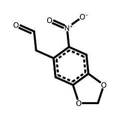 O=CCc1cc2c(cc1[N+](=O)[O-])OCO2